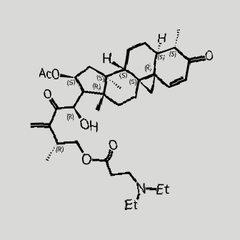 C=C(C(=O)[C@H](O)C1[C@@H](OC(C)=O)C[C@@]2(C)[C@@H]3CC[C@H]4[C@H](C)C(=O)C=C[C@@]45C[C@@]35CC[C@]12C)[C@@H](C)COC(=O)CCN(CC)CC